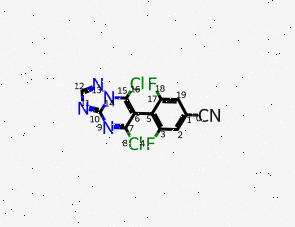 N#Cc1cc(F)c(-c2c(Cl)nc3ncnn3c2Cl)c(F)c1